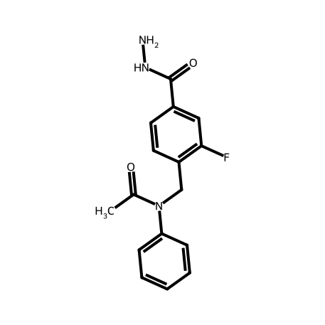 CC(=O)N(Cc1ccc(C(=O)NN)cc1F)c1ccccc1